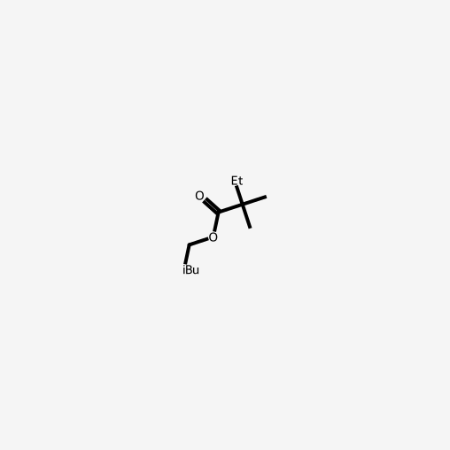 CCC(C)COC(=O)C(C)(C)CC